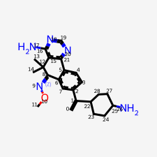 C=C(c1ccc2c(c1)/C(=N\OC)C(C)(C)c1c(N)ncnc1-2)C1CCC(N)CC1